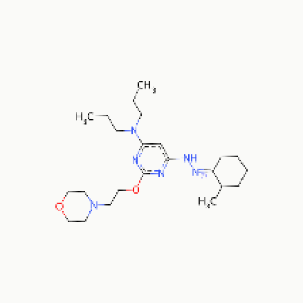 CCCN(CCC)c1cc(N/N=C2\CCCCC2C)nc(OCCN2CCOCC2)n1